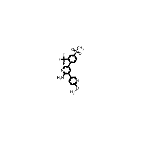 COc1ccc(-c2cc(-c3ccc(S(C)(=O)=O)cc3C(F)(F)F)cnc2N)cn1